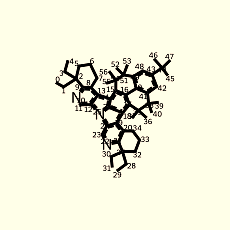 CCC1(CC)CCCc2c1ncc1c2c2c3c4c(c5c6c7c(ncc6n1c25)C(CC)(CC)CCC7)C(C)(C)C(C)(C)c1cc(C(C)(C)C)cc(c1-4)C(C)(C)C3(C)C